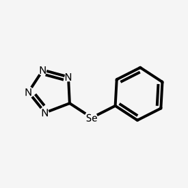 c1ccc([Se]C2N=NN=N2)cc1